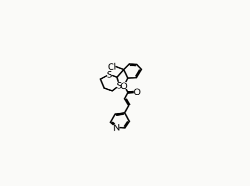 O=C(/C=C/c1ccncc1)OC1C=CC=CC1(Cl)C1SCCCS1